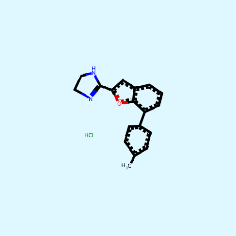 Cc1ccc(-c2cccc3cc(C4=NCCN4)oc23)cc1.Cl